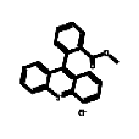 COC(=O)c1ccccc1-c1c2ccccc2[s+]c2ccccc12.[Cl-]